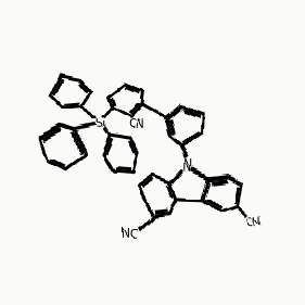 N#Cc1ccc2c(c1)c1cc(C#N)ccc1n2-c1cccc(-c2cccc([Si](c3ccccc3)(c3ccccc3)c3ccccc3)c2C#N)c1